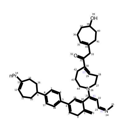 C=C1CC=C(c2ccc(C3CCC=C(CCC)CC3)cc2)C=C1/C(=C\C=N/C)N1CC/C=C(\C(=O)CC2=CCCC(O)CC2)CCC1